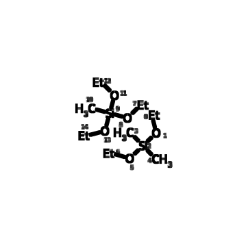 CCO[Si](C)(C)OCC.CCO[Si](C)(OCC)OCC